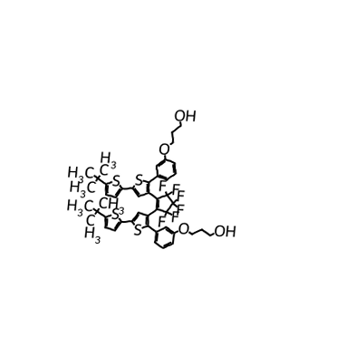 CC(C)(C)c1ccc(-c2cc(C3=C(c4cc(-c5ccc(C(C)(C)C)s5)sc4-c4cccc(OCCCO)c4)C(F)(F)C(F)(F)C3(F)F)c(-c3cccc(OCCCO)c3)s2)s1